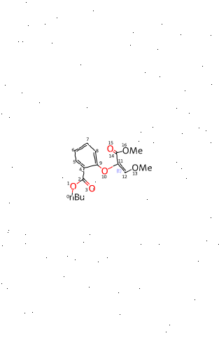 CCCCOC(=O)c1ccccc1O/C(=C/OC)C(=O)OC